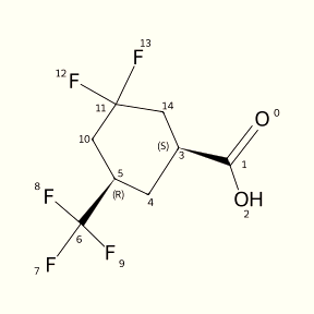 O=C(O)[C@H]1C[C@@H](C(F)(F)F)CC(F)(F)C1